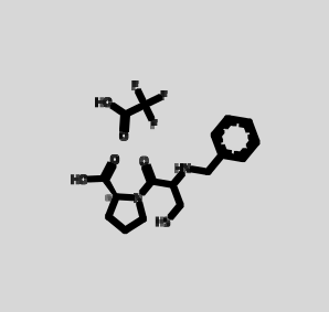 O=C(O)C(F)(F)F.O=C(O)[C@@H]1CCCN1C(=O)C(CS)NCc1ccccc1